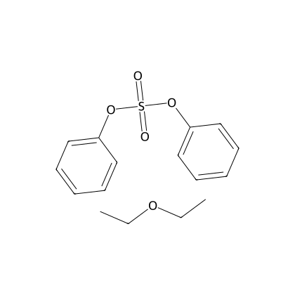 CCOCC.O=S(=O)(Oc1ccccc1)Oc1ccccc1